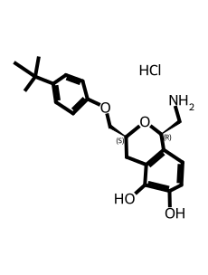 CC(C)(C)c1ccc(OC[C@@H]2Cc3c(ccc(O)c3O)[C@H](CN)O2)cc1.Cl